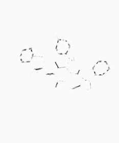 C=CC[C@@H](C(=O)N1C(=O)OC[C@@H]1c1ccccc1)[C@H](Nc1ccc(F)cc1)C(=C)/C=C\C(=C/C)OCc1ccccc1